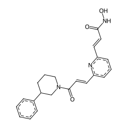 O=C(/C=C/c1cccc(/C=C/C(=O)N2CCCC(c3ccccc3)C2)n1)NO